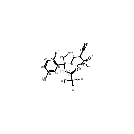 CS(=O)(=O)C(C#N)CC[C@](CF)(NC(=O)C(F)(F)F)c1cc(Br)ccc1F